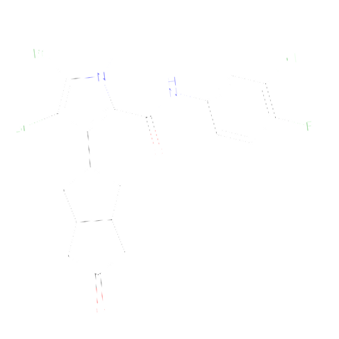 Cn1c(Br)c(Br)c(C2CC3CC(=O)CC3C2)c1C(=O)Nc1ccc(F)c(Cl)c1